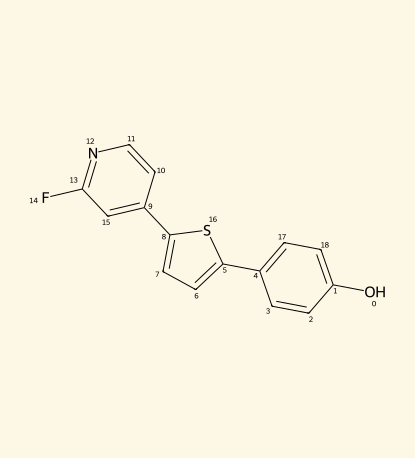 Oc1ccc(-c2ccc(-c3ccnc(F)c3)s2)cc1